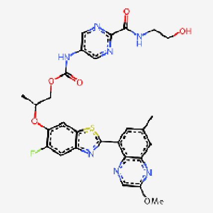 COc1cnc2c(-c3nc4cc(F)c(O[C@@H](C)COC(=O)Nc5cnc(C(=O)NCCO)nc5)cc4s3)cc(C)cc2n1